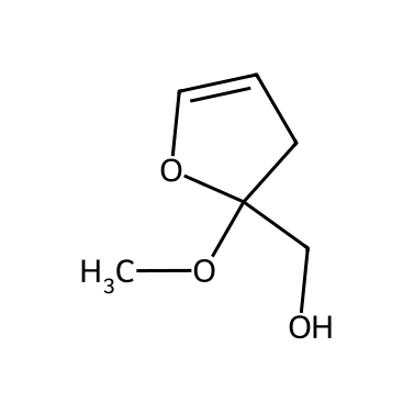 COC1(CO)CC=CO1